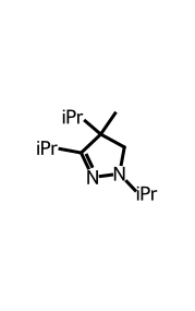 CC(C)C1=NN(C(C)C)CC1(C)C(C)C